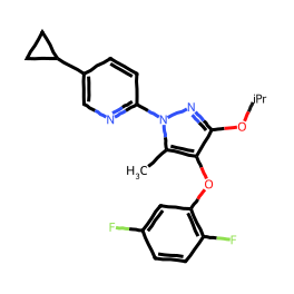 Cc1c(Oc2cc(F)ccc2F)c(OC(C)C)nn1-c1ccc(C2CC2)cn1